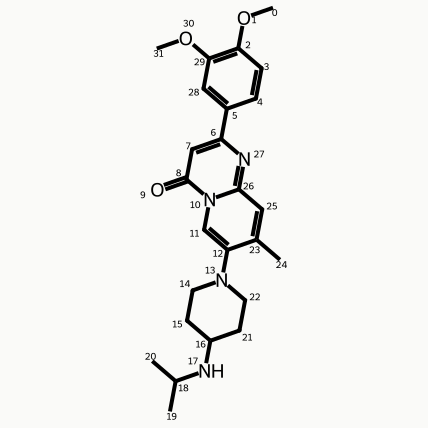 COc1ccc(-c2cc(=O)n3cc(N4CCC(NC(C)C)CC4)c(C)cc3n2)cc1OC